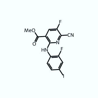 COC(=O)c1cc(F)c(C#N)nc1Nc1ccc(I)cc1F